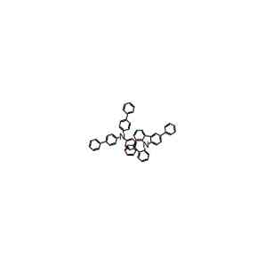 c1ccc(-c2ccc(N(c3ccc(-c4ccccc4)cc3)c3ccc(-c4ccccc4-n4c5ccc(-c6ccccc6)cc5c5cccc(-c6ccccc6)c54)cc3)cc2)cc1